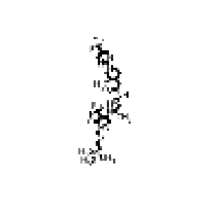 CC1CN(c2ncc(C(F)(F)F)cn2)CCC1CC(=O)NOC[C@H](C)Nc1cnn(COCC[Si](C)(C)C)c(=O)c1C(F)(F)F